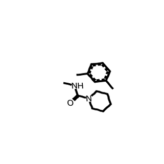 CNC(=O)N1CCCCC1.Cc1cccc(C)c1